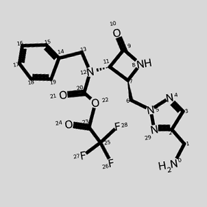 NCc1cnn(C[C@@H]2NC(=O)[C@H]2N(Cc2ccccc2)C(=O)OC(=O)C(F)(F)F)n1